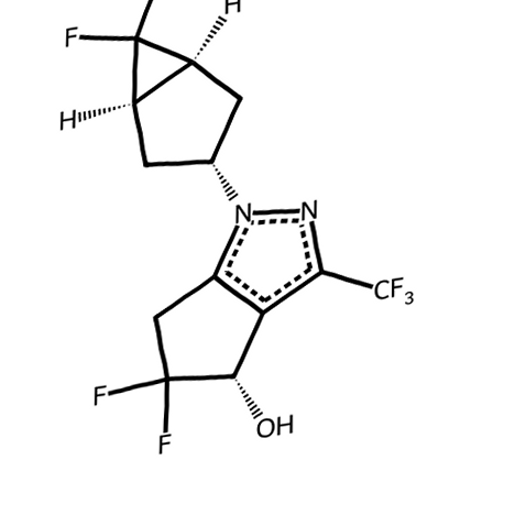 O[C@H]1c2c(C(F)(F)F)nn([C@@H]3C[C@@H]4[C@H](C3)C4(F)F)c2CC1(F)F